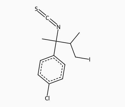 CC(CI)C(C)(N=C=S)c1ccc(Cl)cc1